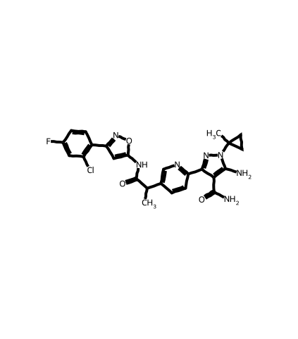 CC(C(=O)Nc1cc(-c2ccc(F)cc2Cl)no1)c1ccc(-c2nn(C3(C)CC3)c(N)c2C(N)=O)nc1